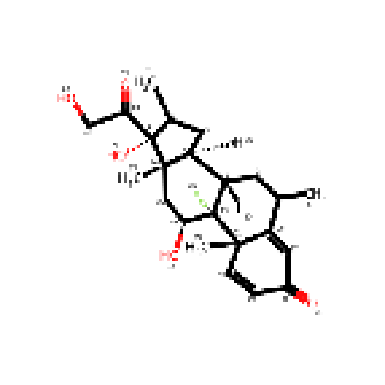 CC1C[C@H]2[C@@H]3CC(C)[C@](O)(C(=O)CO)[C@@]3(C)C[C@H](O)[C@]2(F)[C@@]2(C)C=CC(=O)C=C12